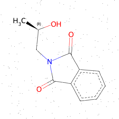 C[C@@H](O)CN1C(=O)c2ccccc2C1=O